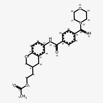 CC(=O)OCCC1COc2ccc(NC(=O)c3ccc(C(=N)N4CCOCC4)cc3)cc2C1